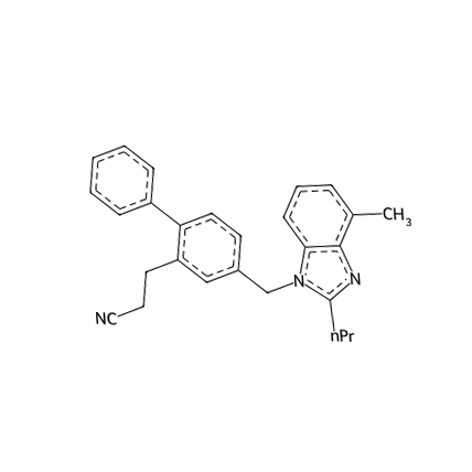 CCCc1nc2c(C)cccc2n1Cc1ccc(-c2ccccc2)c(CCC#N)c1